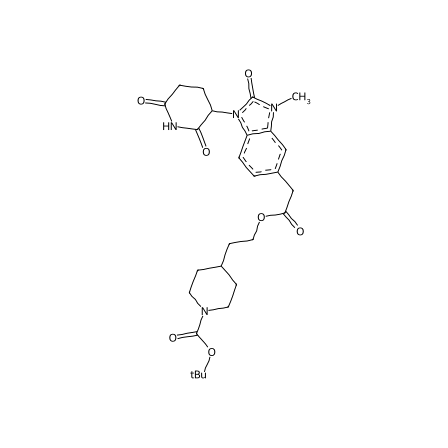 Cn1c(=O)n(C2CCC(=O)NC2=O)c2ccc(CC(=O)OCCC3CCN(C(=O)OC(C)(C)C)CC3)cc21